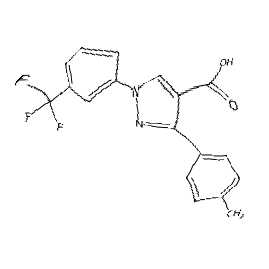 Cc1ccc(-c2nn(-c3cccc(C(F)(F)F)c3)cc2C(=O)O)cc1